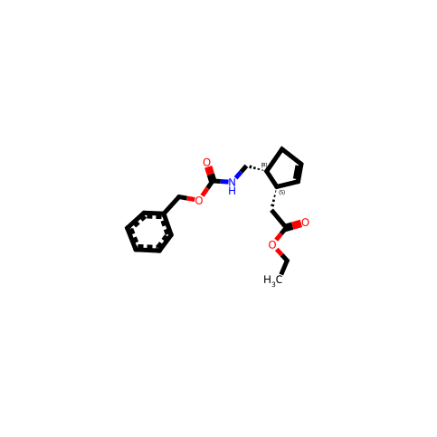 CCOC(=O)C[C@H]1C=CC[C@H]1CNC(=O)OCc1ccccc1